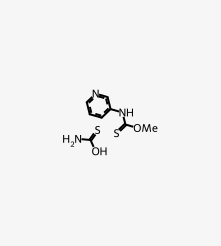 COC(=S)Nc1cccnc1.NC(O)=S